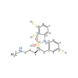 CNCCC[C@@H]1Cc2cc(F)ccc2N(c2cccc(F)c2F)S1(=O)=O